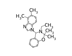 CCN1C(n2cnc3c(C)c(C)ccc32)c2ccccc2OC1(C)C